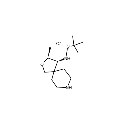 C[C@@H]1OCC2(CCNCC2)[C@@H]1N[S@+]([O-])C(C)(C)C